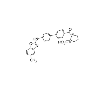 Cc1ccc2oc(Nc3ccc(-c4ccc(C(=O)[C@@H]5CCC[C@H]5C(=O)O)cc4)cc3)nc2c1